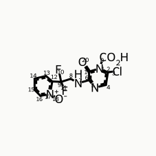 O=C(O)n1c(Cl)cnc(NCC(F)(F)c2cccc[n+]2[O-])c1=O